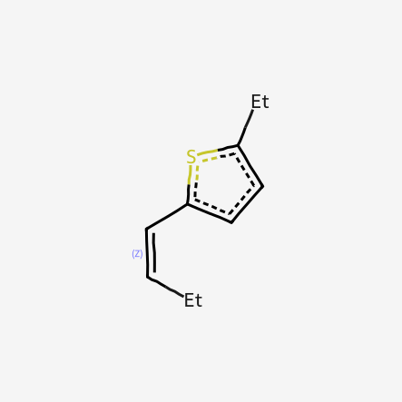 CC/C=C\c1ccc(CC)s1